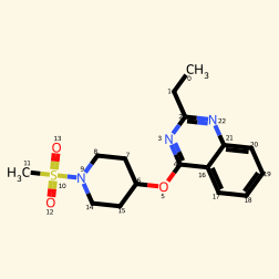 CCc1nc(OC2CCN(S(C)(=O)=O)CC2)c2ccccc2n1